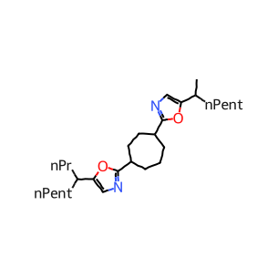 CCCCCC(C)c1cnc(C2CCCC(c3ncc(C(CCC)CCCCC)o3)CC2)o1